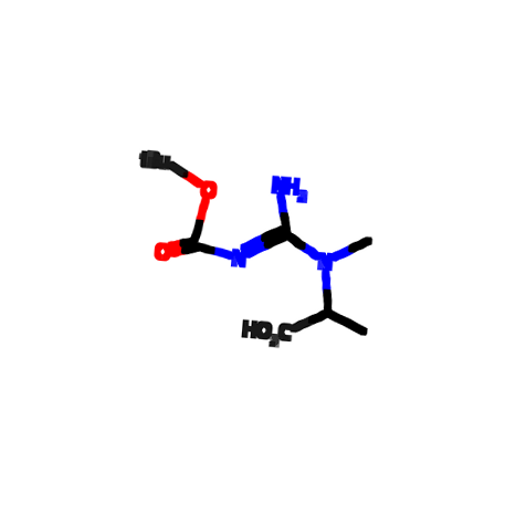 CC(C(=O)O)N(C)C(N)=NC(=O)OC(C)(C)C